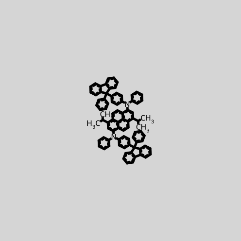 CC(C)c1cc(N(c2ccccc2)c2ccc(C3(c4ccccc4)c4ccccc4-c4ccccc43)cc2)c2ccc3c(C(C)C)cc(N(c4ccccc4)c4ccc(C5(c6ccccc6)c6ccccc6-c6ccccc65)cc4)c4ccc1c2c34